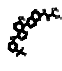 Cc1ccc2c(Nc3cccc(C(F)(F)F)c3)ncnc2c1-c1ccc2nc(NC(=O)C(C)C)ncc2c1